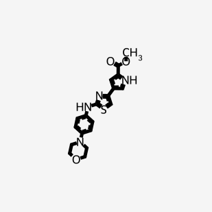 COC(=O)c1cc(-c2csc(Nc3ccc(N4CCOCC4)cc3)n2)c[nH]1